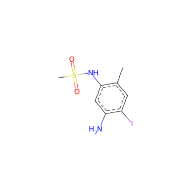 Cc1cc(I)c(N)cc1NS(C)(=O)=O